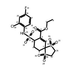 CCOC(=O)C1=CC2(CCC1S(=O)(=O)Nc1ccc(F)cc1Cl)S(=O)(=O)CCS2(=O)=O